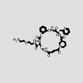 NCCOCCNC(=O)[C@@H]1CCNC(=O)/C=C/C(=O)N2CCC[C@H](C2)C(=O)N[C@@H](Cc2ccccn2)C(=O)NCc2ccccc2CC(=O)N1